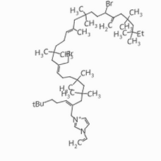 C=Cn1cc[n+](C/C(=C\CCC(C)(C)C)CC(C)(C)CC(C)(C)CC/C=C(\CBr)CC(C)(C)CC/C=C(\C)CC(C)(C)CCC(Br)C(=C)CC(C)(C)CC(C)(C)CC)c1